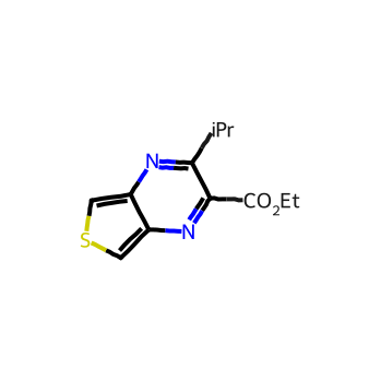 CCOC(=O)c1nc2cscc2nc1C(C)C